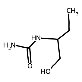 CCC(CO)NC(N)=O